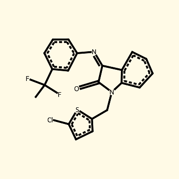 CC(F)(F)c1cccc(N=C2C(=O)N(Cc3ccc(Cl)s3)c3ccccc32)c1